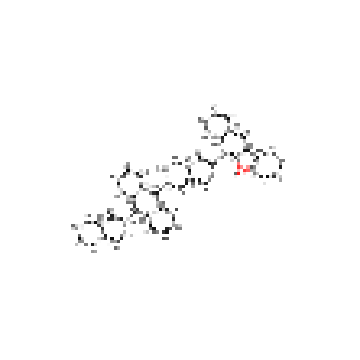 C1=Cc2oc3c(-c4ccc5cc(-c6c7ccccc7c(-c7ccc8ccccc8c7)c7ccccc67)ccc5c4)c4ccccc4cc3c2CC1